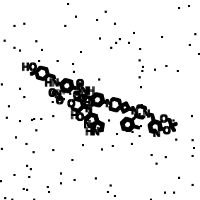 Cc1ccccc1[C@@H]1CN(Cc2ccnc3c2OCC(C)(C)O3)CCN1C1CC2(CCN(c3ccc(C(=O)NS(=O)(=O)c4ccc(NCC5CCC(C)(O)CC5)c([N+](=O)[O-])c4)c(N4c5cc6cc[nH]c6nc5O[C@H]5COCC[C@@H]54)c3)CC2)C1